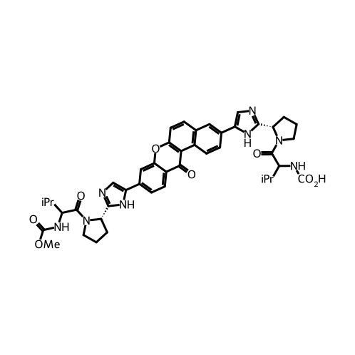 COC(=O)NC(C(=O)N1CCC[C@H]1c1ncc(-c2ccc3c(=O)c4c(ccc5cc(-c6cnc([C@@H]7CCCN7C(=O)C(NC(=O)O)C(C)C)[nH]6)ccc54)oc3c2)[nH]1)C(C)C